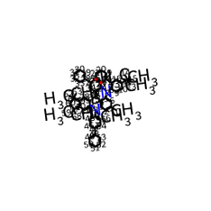 Cc1cc2c3c(c1)N(c1ccc(C(C)(C)C)cc1-c1ccccc1)c1ccc(-c4ccccc4)cc1B3c1cc3c(cc1N2c1ccc(-c2ccccc2)cc1C)C(C)(C)CC3(C)C